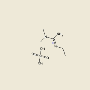 CC/N=C(\N)N(C)C.O=S(=O)(O)O